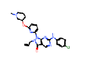 C=CCn1c(=O)c2cnc(Nc3ccc(Cl)cc3)nc2n1-c1cccc(O[C@@H]2CCCN(C)C2)n1